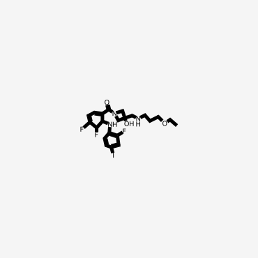 CCOCCCNCC1(O)CN(C(=O)C2=CC=C(F)C(F)C2Nc2ccc(I)cc2F)C1